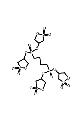 O=P(CCCCP(=O)(OC1COS(=O)(=O)C1)OC1COS(=O)(=O)C1)(OC1COS(=O)(=O)C1)OC1COS(=O)(=O)C1